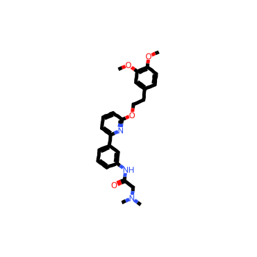 COc1ccc(CCOc2cccc(-c3cccc(NC(=O)CN(C)C)c3)n2)cc1OC